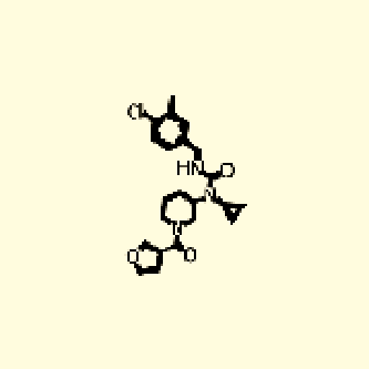 Cc1cc(CNC(=O)N(C2CC2)[C@@H]2CCCN(C(=O)[C@H]3CCOC3)C2)ccc1Cl